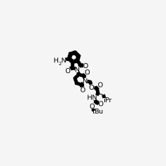 CC(C)C[C@H](NC(=O)OC(C)(C)C)C(=O)OCN1C(=O)CCC(N2C(=O)c3cccc(N)c3C2=O)C1=O